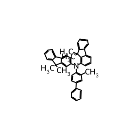 Cc1cc(-c2ccccc2)ccc1N(c1ccc2c(c1)C(C)(C)c1ccccc1-2)c1cccc2c1C(C)(C)c1ccccc1-2